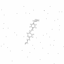 C=CCCC1CCC(CCC2CCC(CO)CC2)CC1